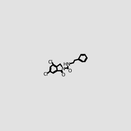 O=C(NCCc1ccccc1)N1Cc2c(Cl)cc(Cl)cc2C1=O